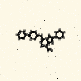 Nc1ncc(CN2CCN(c3ccccc3)CC2)c2nc(C3CCCCC3)nn12